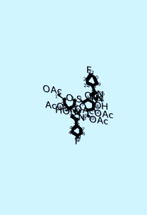 CC(=O)OC[C@H]1O[C@@H](S[C@@H]2O[C@H](COC(C)=O)[C@H](OC(C)=O)[C@@](O)(n3cc(-c4ccc(F)cc4)nn3)[C@H]2OC(C)=O)[C@H](OC(C)=O)[C@](O)(n2cc(-c3ccc(F)cc3)nn2)[C@H]1OC(C)=O